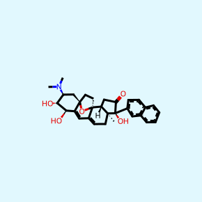 CN(C)[C@H]1C[C@@]23CC[C@@]4(O2)C(=CC[C@@]2(C)[C@H]4CC(=O)[C@]2(O)c2ccc4ccccc4c2)C=C3[C@@H](O)[C@@H]1O